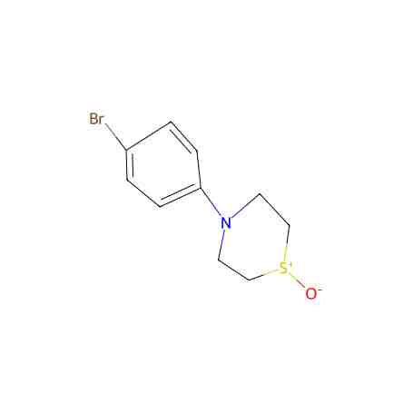 [O-][S+]1CCN(c2ccc(Br)cc2)CC1